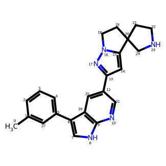 Cc1cccc(-c2c[nH]c3ncc(-c4cc5n(n4)CCC54CCNC4)cc23)c1